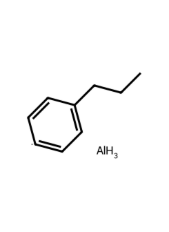 CCCc1cc[c]cc1.[AlH3]